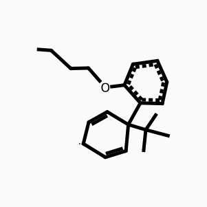 CCCCOc1ccccc1C1(C(C)(C)C)C=C[CH]C=C1